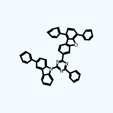 c1ccc(-c2ccc3c(c2)c2ccccc2n3-c2nc(-c3ccccc3)nc(-c3ccc4c(c3)oc3c(-c5ccccc5)ccc(-c5ccccc5)c34)n2)cc1